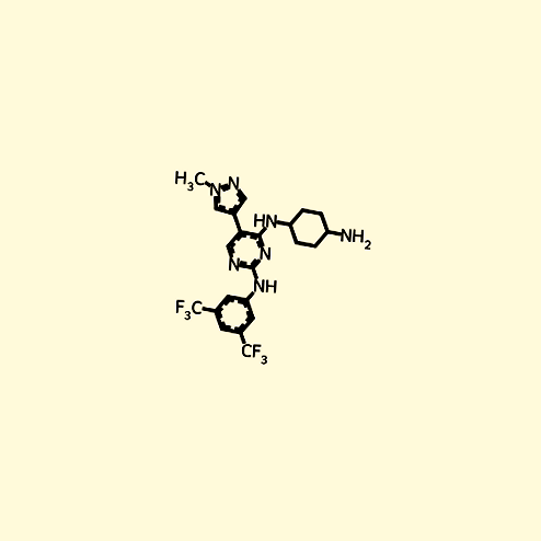 Cn1cc(-c2cnc(Nc3cc(C(F)(F)F)cc(C(F)(F)F)c3)nc2NC2CCC(N)CC2)cn1